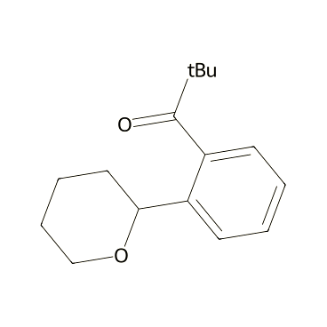 CC(C)(C)C(=O)c1ccccc1C1CCCCO1